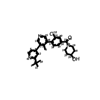 Cc1c(-c2ccnc(C(C)(C)C)c2)cncc1-c1ccc(C(=O)N2CCC(O)CC2)cc1Cl